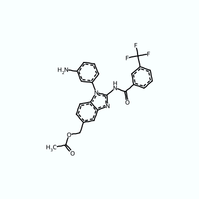 CC(=O)OCc1ccc2c(c1)nc(NC(=O)c1cccc(C(F)(F)F)c1)n2-c1cccc(N)c1